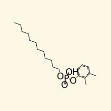 CCCCCCCCCCCCOP(=O)(O)Oc1cccc(C)c1C